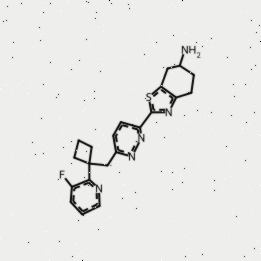 NC1CCc2nc(-c3ccc([CH]C4(c5ncccc5F)CCC4)nn3)sc2C1